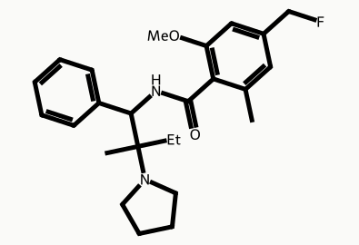 CCC(C)(C(NC(=O)c1c(C)cc(CF)cc1OC)c1ccccc1)N1CCCC1